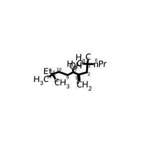 C=C(CC(C)(C)CCC)C(O)CCC(C)(C)CC